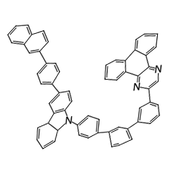 C1=CC2c3cc(-c4ccc(-c5ccc6ccccc6c5)cc4)ccc3N(c3ccc(-c4cccc(-c5cccc(-c6cnc7c8ccccc8c8ccccc8c7n6)c5)c4)cc3)C2C=C1